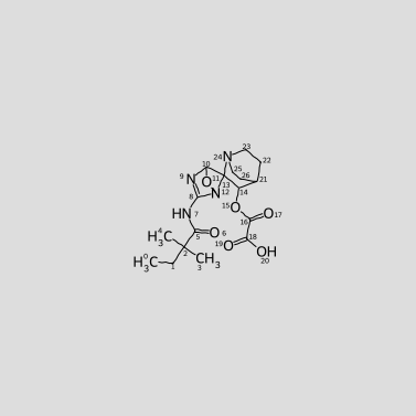 CCC(C)(C)C(=O)NC1=NC2ON1C21C(OC(=O)C(=O)O)C2CCN1CC2